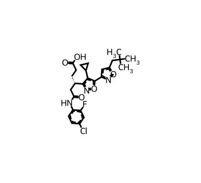 CC(C)(C)Cc1cc(-c2onc([C@@H](CCC(=O)O)CC(=O)Nc3ccc(Cl)cc3F)c2C2CC2)no1